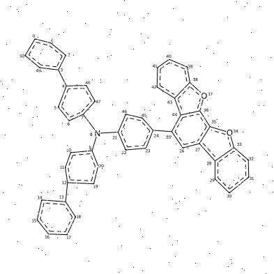 c1ccc(-c2ccc(N(c3ccc(-c4ccccc4)cc3)c3ccc(-c4cc5c6ccccc6oc5c5oc6ccccc6c45)cc3)cc2)cc1